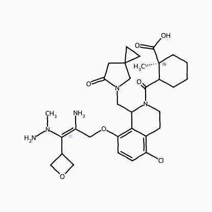 CN(N)/C(=C(\N)COc1ccc(Cl)c2c1C(CN1CC3(CC3)CC1=O)N(C(=O)C1CCCC[C@]1(C)C(=O)O)CC2)C1COC1